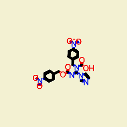 O=C(/N=C(\N(Cc1ccc([N+](=O)[O-])cc1)C(=O)O)n1ccnc1)OCc1ccc([N+](=O)[O-])cc1